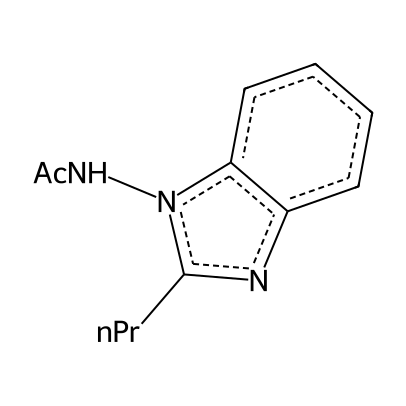 CCCc1nc2ccccc2n1NC(C)=O